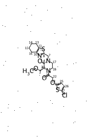 COC[C@H]1C(=O)N(Cc2nc3c(s2)CCCC3)CCN1C(=O)COc1ccc(Cl)s1